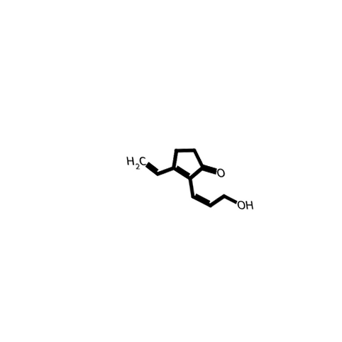 C=CC1=C(/C=C\CO)C(=O)CC1